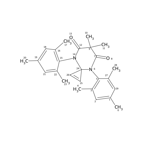 Cc1cc(C)c(N2C(=O)C(C)(C)C(=O)N(c3c(C)cc(C)cc3C)C23C=C3)c(C)c1